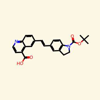 CC(C)(C)OC(=O)N1CCc2cc(C=Cc3ccc4nccc(C(=O)O)c4c3)ccc21